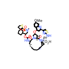 COc1ccc2c(O[C@@H]3C[C@H]4C(=O)N[C@]5(C(=O)O)CC5/C=C\CCCCC[C@H](NC(=O)OC(CN(C)S(=O)(=O)C5=CCCS5)C5CCCCC5)C(=O)N4C3)cc(-c3csc(NC(C)C)n3)nc2c1